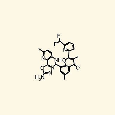 Cc1cc(C(C)Nc2ccc(C)nc2-c2nnc(N)o2)c2oc(-c3cccc(C(F)F)n3)c(C)c(=O)c2c1